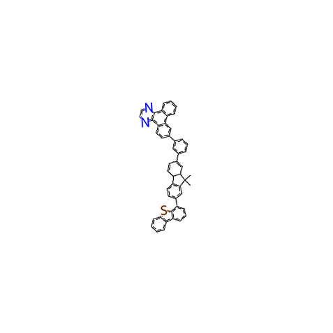 CC1(C)c2cc(-c3cccc4c3sc3ccccc34)ccc2C2C=CC(c3cccc(-c4ccc5c(c4)c4ccccc4c4nccnc54)c3)=CC21